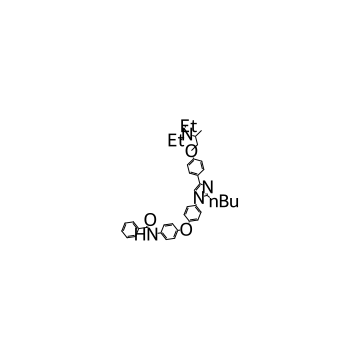 CCCCc1nc(-c2ccc(OCC(C)N(CC)CC)cc2)cn1-c1ccc(Oc2ccc(NC(=O)c3ccccc3)cc2)cc1